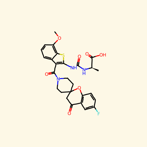 COc1cccc2c(C(=O)N3CCC4(CC3)CC(=O)c3cc(F)ccc3O4)c(NC(=O)N[C@H](C)C(=O)O)sc12